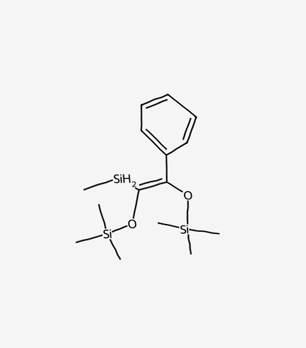 C[SiH2]C(O[Si](C)(C)C)=C(O[Si](C)(C)C)c1ccccc1